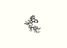 CCCCc1nc(Cl)c(C(=O)N[C@H](CO)C(=O)OCC)n1Cc1c2ccocc-2c(Br)c1-c1ccccc1-c1nnn[nH]1